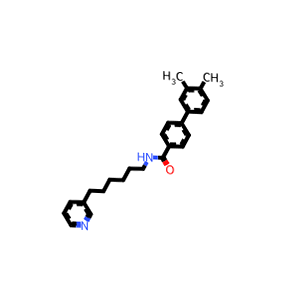 Cc1ccc(-c2ccc(C(=O)NCCCCCCc3cccnc3)cc2)cc1C